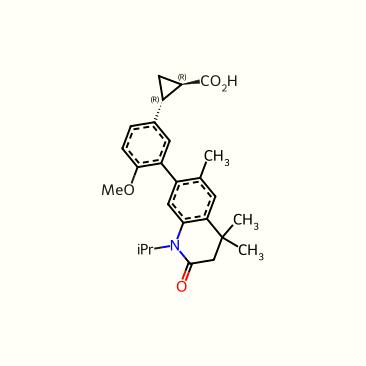 COc1ccc([C@@H]2C[C@H]2C(=O)O)cc1-c1cc2c(cc1C)C(C)(C)CC(=O)N2C(C)C